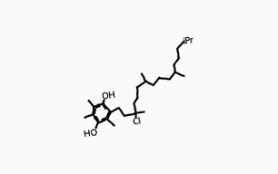 Cc1c(C)c(O)c(CCC(C)(Cl)CCCC(C)CCCC(C)CCCC(C)C)c(C)c1O